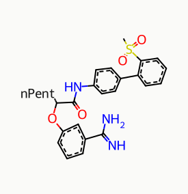 CCCCCC(Oc1cccc(C(=N)N)c1)C(=O)Nc1ccc(-c2ccccc2S(C)(=O)=O)cc1